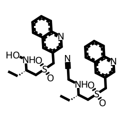 CC[C@@H](CS(=O)(=O)Cc1cnc2ccccc2c1)NCC#N.CC[C@@H](CS(=O)(=O)Cc1cnc2ccccc2c1)NO